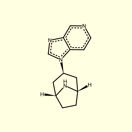 c1cc2c(cn1)ncn2[C@@H]1C[C@H]2CC[C@@H](C1)N2